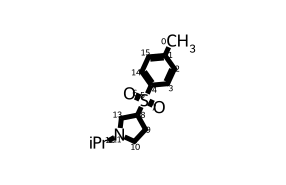 Cc1ccc(S(=O)(=O)C2CCN(C(C)C)C2)cc1